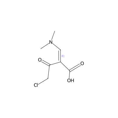 CN(C)/C=C(/C(=O)O)C(=O)CCl